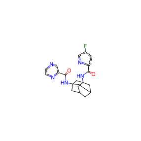 O=C(NC12CC3CC(C1)CC(NC(=O)c1cnccn1)(C3)C2)c1ccc(F)cn1